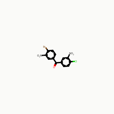 O=C(c1ccc(Cl)c([N+](=O)[O-])c1)c1ccc(Br)c([N+](=O)[O-])c1